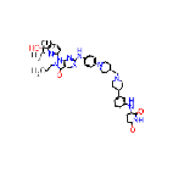 C=CCn1c(=O)c2cnc(Nc3ccc(N4CCC(CN5CCC(c6cccc(NC7CCC(=O)NC7=O)c6)CC5)CC4)cc3)nc2n1-c1cccc(C(C)(C)O)n1